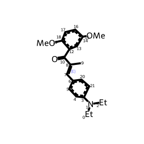 CCN(CC)c1ccc(/C=C(\C)C(=O)c2cc(OC)ccc2OC)cc1